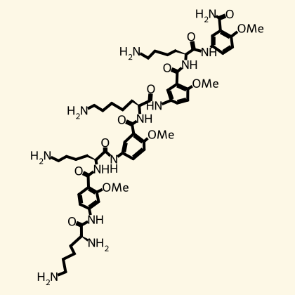 COc1ccc(NC(=O)[C@H](CCCCN)NC(=O)c2cc(NC(=O)[C@H](CCCCCN)NC(=O)c3cc(NC(=O)[C@H](CCCCN)NC(=O)c4ccc(NC(=O)[C@@H](N)CCCCN)cc4OC)ccc3OC)ccc2OC)cc1C(N)=O